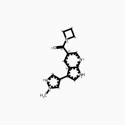 Cn1cc(-c2c[nH]c3ncc(C(=O)N4CCC4)cc23)cn1